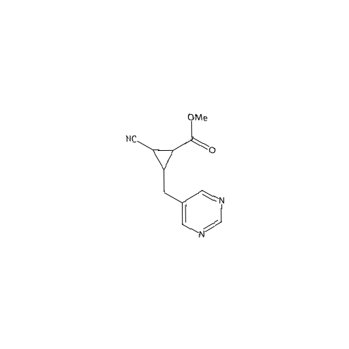 COC(=O)C1C(C#N)C1Cc1cncnc1